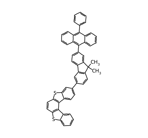 CC1(C)c2ccc(-c3ccc4c(c3)sc3ccc5sc6ccccc6c5c34)cc2-c2ccc(-c3c4ccccc4c(-c4ccccc4)c4ccccc34)cc21